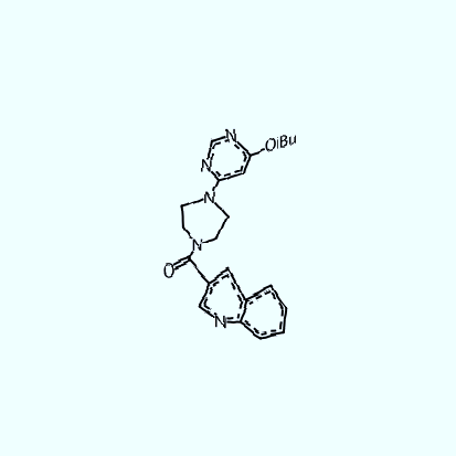 CC(C)COc1cc(N2CCN(C(=O)c3cnc4ccccc4c3)CC2)ncn1